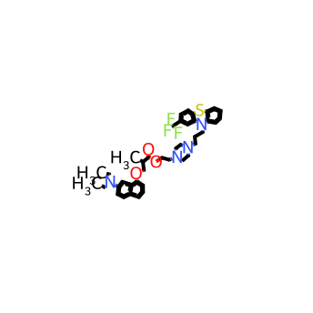 CCN(CC)c1ccc2cccc(OCC(C)C(=O)OCCN3CCN(CCCN4c5ccccc5Sc5ccc(C(F)(F)F)cc54)CC3)c2c1